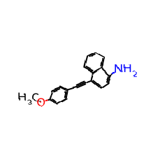 COc1ccc(C#Cc2ccc(N)c3ccccc23)cc1